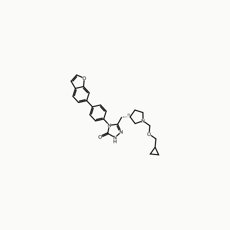 O=c1[nH]nc(C[C@@H]2CCN(COCC3CC3)C2)n1-c1ccc(-c2ccc3ccoc3c2)cc1